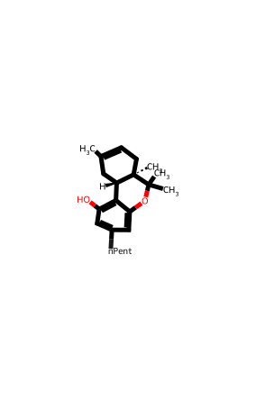 CCCCCc1cc(O)c2c(c1)OC(C)(C)[C@]1(C)CC=C(C)C[C@@H]21